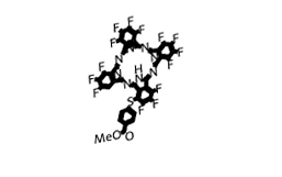 COC(=O)c1ccc(Sc2c(F)c(F)c(F)c3c4nc5nc(nc6c7c(F)c(F)c(F)c(F)c7c(nc7nc(nc([nH]4)c23)-c2cc(F)c(F)c(F)c2-7)n6F)-c2c(F)c(F)c(F)c(F)c2-5)cc1